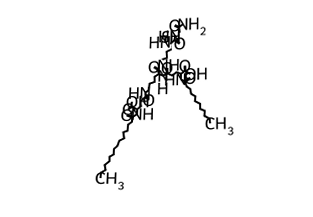 CCCCCCCCCCCCCCCC(=O)NC(CCC(=O)NCCCCC(NC(=O)CCC(NC(=O)CCCCCCCCCCC)C(=O)O)C(=O)NCCCC[C@H](NS)C(=O)NCC(N)=O)C(=O)O